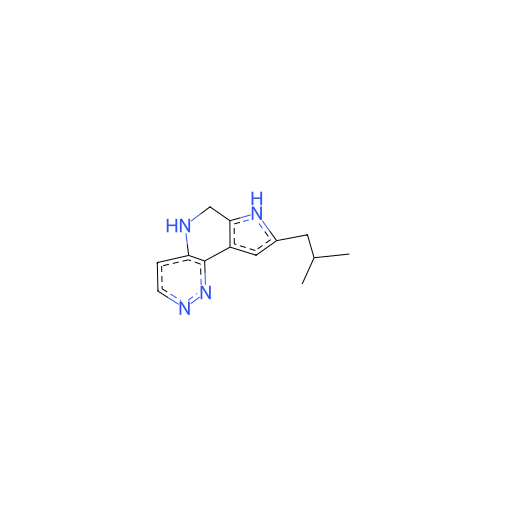 CC(C)Cc1cc2c([nH]1)CNc1ccnnc1-2